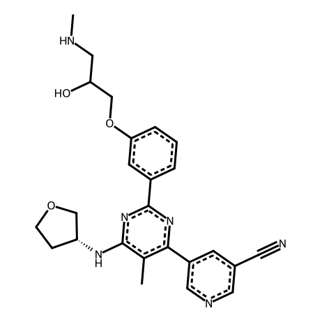 CNCC(O)COc1cccc(-c2nc(N[C@@H]3CCOC3)c(C)c(-c3cncc(C#N)c3)n2)c1